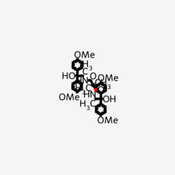 COc1ccc(C(O)(c2ccc(OC)cc2)[C@@H](C)NC(=O)C(C)(C)C(=O)N[C@H](C)C(O)(c2ccc(OC)cc2)c2ccc(OC)cc2)cc1